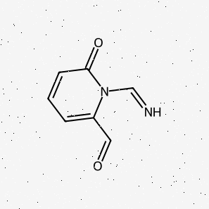 N=Cn1c(C=O)cccc1=O